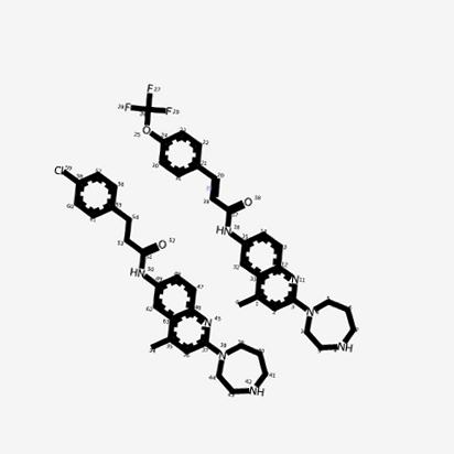 Cc1cc(N2CCCNCC2)nc2ccc(NC(=O)/C=C/c3ccc(OC(F)(F)F)cc3)cc12.Cc1cc(N2CCCNCC2)nc2ccc(NC(=O)CCc3ccc(Cl)cc3)cc12